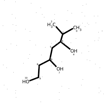 CC(C)C(O)CC(O)CCO